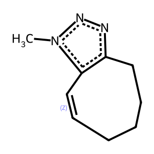 Cn1nnc2c1/C=C\CCCC2